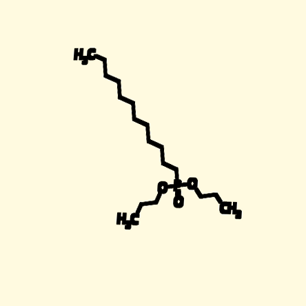 CCCCCCCCCCCCP(=O)(OCCC)OCCC